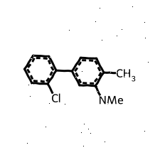 CNc1cc(-c2ccccc2Cl)ccc1C